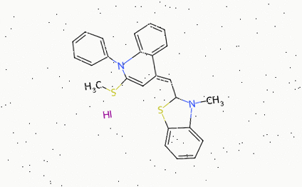 CSC1=CC(=CC2Sc3ccccc3N2C)c2ccccc2N1c1ccccc1.I